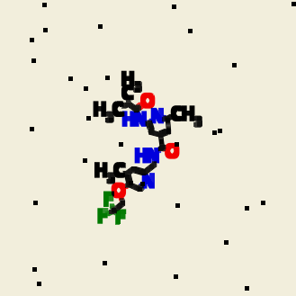 Cc1cc(C(=O)NCc2cc(C)c(OCC(F)(F)F)cn2)cc(NC(=O)C(C)C)n1